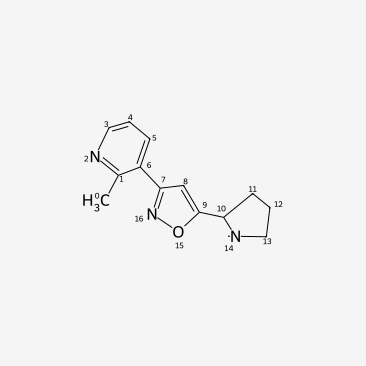 Cc1ncccc1-c1cc(C2CCC[N]2)on1